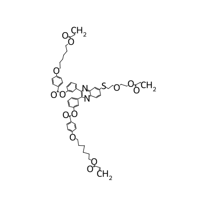 C=CC(=O)OCCCCCCOc1ccc(C(=O)Oc2cccc(-c3nc4ccc(SCCOCCOC(=O)C=C)cc4nc3-c3cccc(OC(=O)c4ccc(OCCCCCCOC(=O)C=C)cc4)c3)c2)cc1